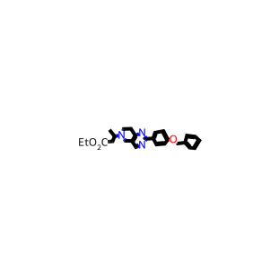 CCOC(=O)CC(C)N1CCc2nc(-c3ccc(OCc4ccccc4)cc3)ncc2C1